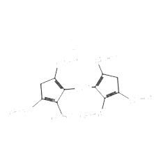 CCCCCC1=C(CCCCC)[C]([Zr+2][C]2=C(CCCCC)CC(CCCCC)=C2CCCCC)=C(CCCCC)C1.[Cl-].[Cl-]